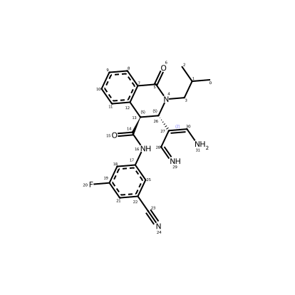 CC(C)CN1C(=O)c2ccccc2[C@H](C(=O)Nc2cc(F)cc(C#N)c2)[C@H]1/C(C=N)=C/N